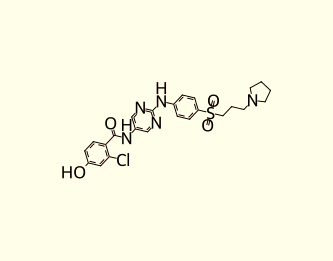 O=C(Nc1cnc(Nc2ccc(S(=O)(=O)CCCN3CCCC3)cc2)nc1)c1ccc(O)cc1Cl